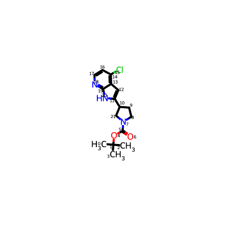 CC(C)(C)OC(=O)N1CCC(c2cc3c(Cl)ccnc3[nH]2)C1